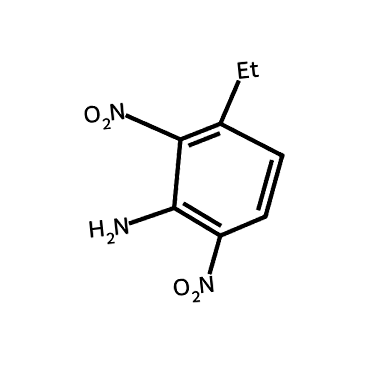 CCc1ccc([N+](=O)[O-])c(N)c1[N+](=O)[O-]